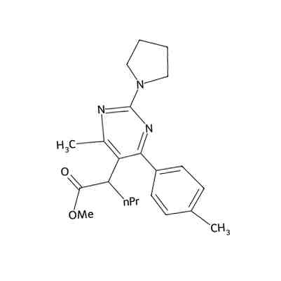 CCCC(C(=O)OC)c1c(C)nc(N2CCCC2)nc1-c1ccc(C)cc1